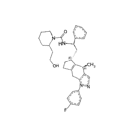 C[C@@H]1C2=C(CC[C@@H]2CC(NC(=O)N2CCCCC2CCO)c2ccccc2)Cc2c1cnn2-c1ccc(F)cc1